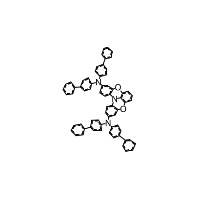 c1ccc(-c2ccc(N(c3ccc(-c4ccccc4)cc3)c3ccc4c(c3)Oc3cccc5c3N4c3ccc(N(c4ccc(-c6ccccc6)cc4)c4ccc(-c6ccccc6)cc4)cc3O5)cc2)cc1